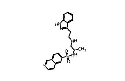 C[C@H](CNCCc1n[nH]c2ccccc12)NS(=O)(=O)c1ccc2cnccc2c1